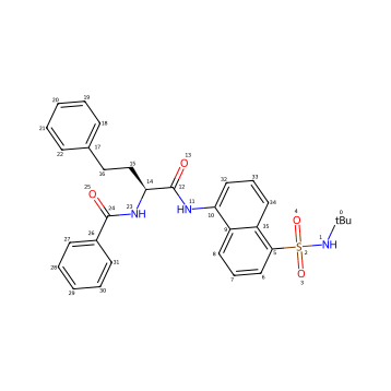 CC(C)(C)NS(=O)(=O)c1cccc2c(NC(=O)[C@H](CCc3ccccc3)NC(=O)c3ccccc3)cccc12